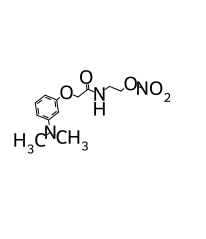 CN(C)c1cccc(OCC(=O)NCCO[N+](=O)[O-])c1